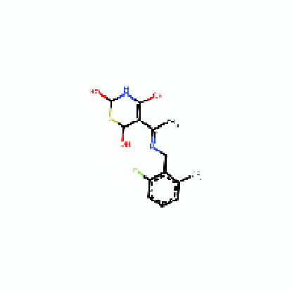 C/C(=N\Cc1c(F)cccc1C(F)(F)F)C1=C(O)NC(O)SC1O